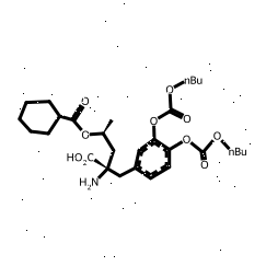 CCCCOC(=O)Oc1ccc(C[C@](N)(C[C@H](C)OC(=O)C2CCCCC2)C(=O)O)cc1OC(=O)OCCCC